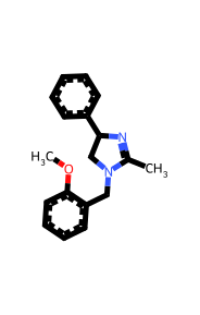 COc1ccccc1CN1CC(c2ccccc2)N=C1C